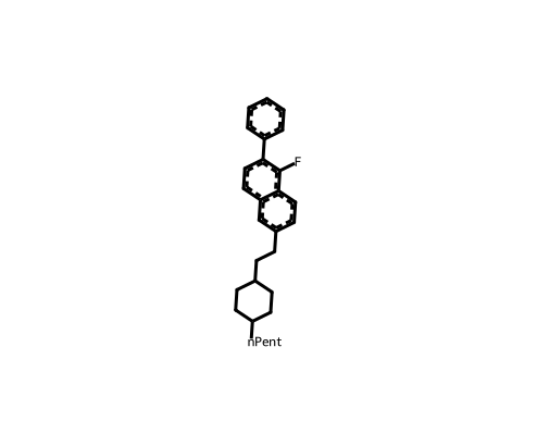 CCCCCC1CCC(CCc2ccc3c(F)c(-c4ccccc4)ccc3c2)CC1